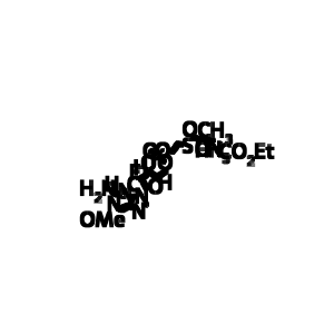 CCOC(=O)NCC(C)(C)C(=O)SCCO[P@]1(=O)OC[C@H]2O[C@@H](n3cnc4c(OC)nc(N)nc43)[C@](C)(F)[C@@H]2O1